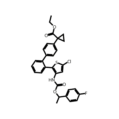 CCOC(=O)C1(c2ccc(-c3ccccc3-c3sc(Cl)cc3NC(=O)OC(C)c3ccc(F)cc3)cc2)CC1